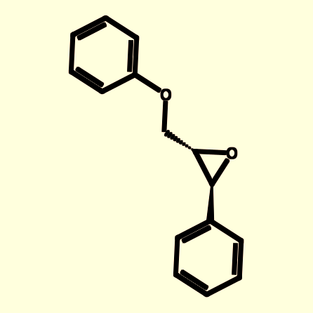 c1ccc(OC[C@@H]2O[C@H]2c2ccccc2)cc1